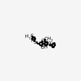 CCc1cc(OCc2ccccc2)ccc1C1C(=O)CC(CCSc2ccc(C)cn2)C=C1O